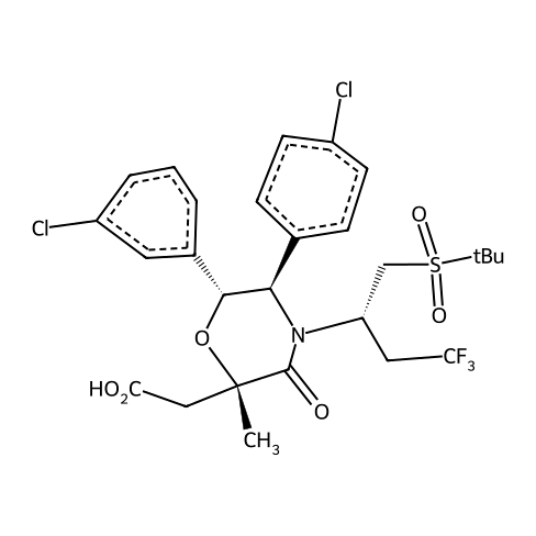 CC(C)(C)S(=O)(=O)C[C@H](CC(F)(F)F)N1C(=O)[C@](C)(CC(=O)O)O[C@H](c2cccc(Cl)c2)[C@H]1c1ccc(Cl)cc1